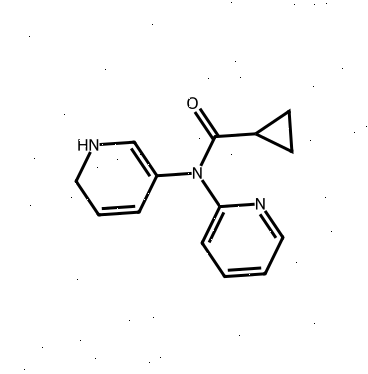 O=C(C1CC1)N(C1=CNCC=C1)c1ccccn1